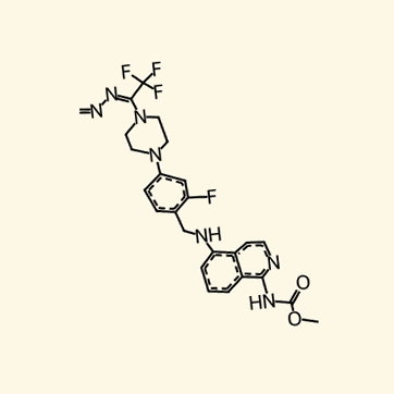 C=N/N=C(\N1CCN(c2ccc(CNc3cccc4c(NC(=O)OC)nccc34)c(F)c2)CC1)C(F)(F)F